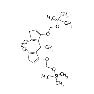 CC(C1=C(Cl)CC=C1OCO[Si](C)(C)C)C1=C(Cl)CC=C1OCO[Si](C)(C)C.[Zr]